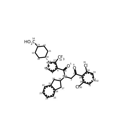 O=C(CN(C(=O)c1cnn([C@H]2CC[C@H](C(=O)O)CC2)c1C(F)(F)F)C1Cc2ccccc2C1)c1c(Cl)cncc1Cl